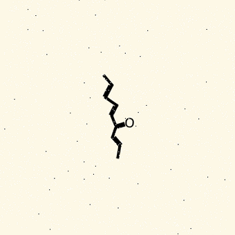 C/C=C/C=C/C(=O)/C=C/C